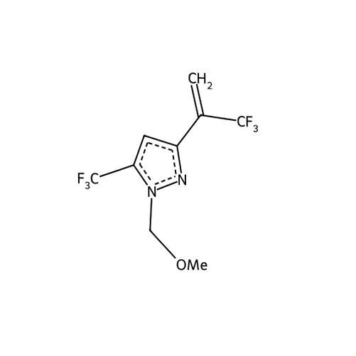 C=C(c1cc(C(F)(F)F)n(COC)n1)C(F)(F)F